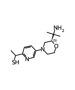 CC(S)c1ccc(N2CCO[C@H](C(C)(C)N)C2)cn1